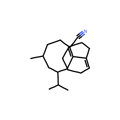 CC1CC/C(C#N)=C(/C2=C\CCCCCC2)CC(C(C)C)C1